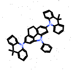 CC1(C)c2ccccc2N(c2cc3c4c5c(cc(N6c7ccccc7C(C)(C)c7ccccc76)cc5n(-c5ccccc5)c4c2)CC3)c2ccccc21